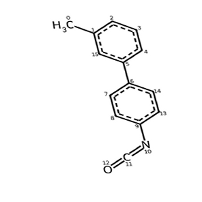 Cc1cccc(-c2ccc(N=C=O)cc2)c1